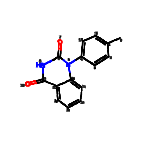 Cc1ccc(-n2c(=O)[nH]c(=O)c3ccccc32)cc1